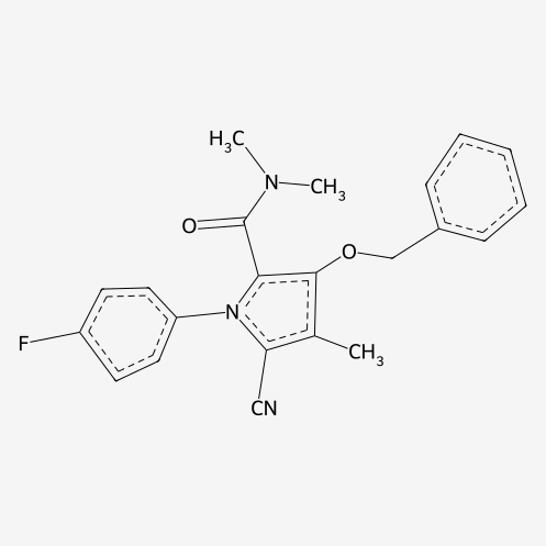 Cc1c(OCc2ccccc2)c(C(=O)N(C)C)n(-c2ccc(F)cc2)c1C#N